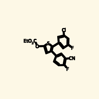 CCOC(=O)Oc1cc(-c2ccc(F)c(C#N)c2)c(-c2cc(F)cc(Cl)c2)s1